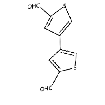 O=Cc1cc(-c2csc(C=O)c2)cs1